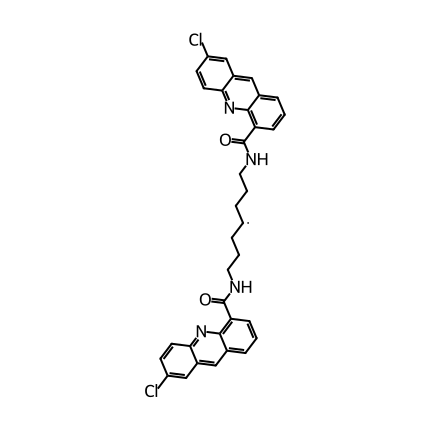 O=C(NCCC[CH]CCCNC(=O)c1cccc2cc3cc(Cl)ccc3nc12)c1cccc2cc3cc(Cl)ccc3nc12